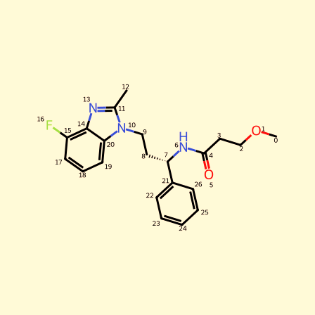 COCCC(=O)N[C@@H](CCn1c(C)nc2c(F)cccc21)c1ccccc1